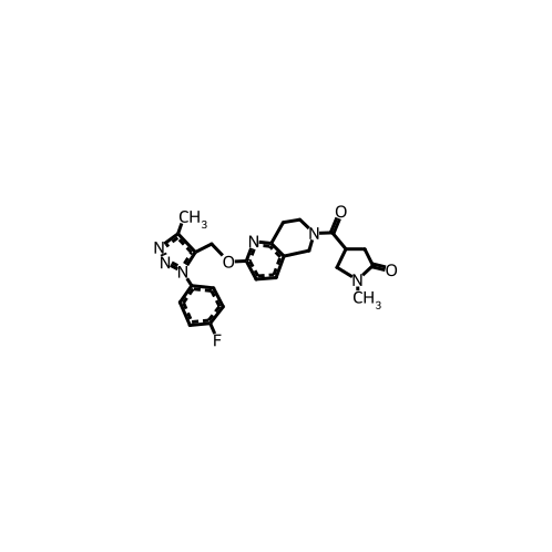 Cc1nnn(-c2ccc(F)cc2)c1COc1ccc2c(n1)CCN(C(=O)C1CC(=O)N(C)C1)C2